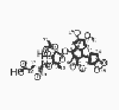 COc1cc2c(OC3OC(C)C(ON[C@H](C=O)CCC(=O)O)C(O)C3OC(C)=O)c3c(c(-c4ccc5c(c4)OCO5)c2cc1OC)C(=O)OC3